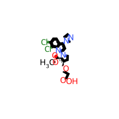 COC(=O)[C@@H]1[C@H](COCCC(=O)O)CCN1c1cc(-n2ccnc2)c2ccc(Cl)c(Cl)c2n1